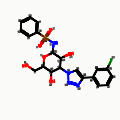 O=S(=O)(N[C@@H]1OC(CO)[C@H](O)C(n2cc(-c3cccc(F)c3)nn2)[C@@H]1O)c1ccccc1